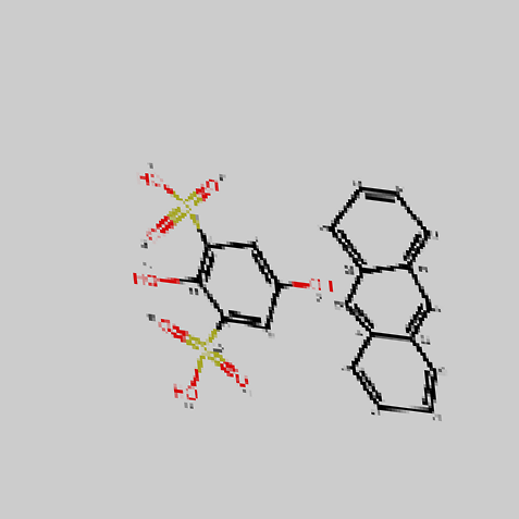 O=S(=O)(O)c1cc(O)cc(S(=O)(=O)O)c1O.c1ccc2cc3ccccc3cc2c1